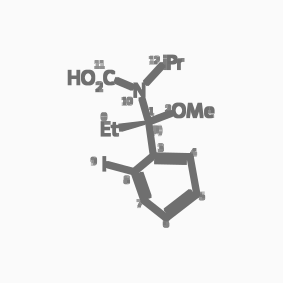 CC[C@@](OC)(c1ccccc1I)N(C(=O)O)C(C)C